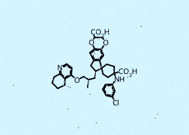 C[C@@H](COc1ccnc2c1[C@H](C)CCC2)C[C@H]1Cc2cc3c(cc2C12CCC(Nc1cccc(Cl)c1)(C(=O)O)CC2)OCC(C(=O)O)O3